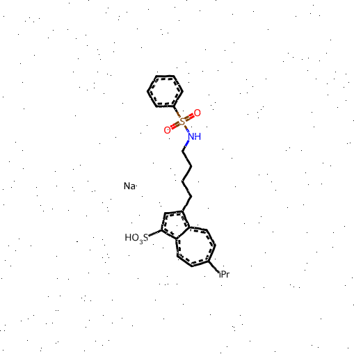 CC(C)c1ccc2c(CCCCNS(=O)(=O)c3ccccc3)cc(S(=O)(=O)O)c-2cc1.[Na]